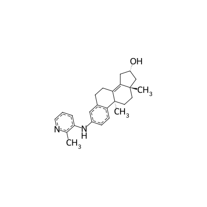 Cc1ncccc1Nc1ccc2c(c1)CCC1=C3C[C@H](O)C[C@]3(C)CC[C@]12C